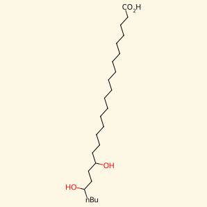 CCCCC(O)CCC(O)CCCCCCCCCCCCCCCCC(=O)O